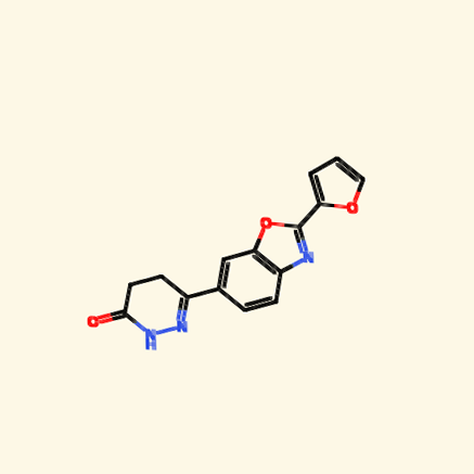 O=C1CCC(c2ccc3nc(-c4ccco4)oc3c2)=NN1